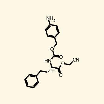 N#CCOC(=O)[C@H](CCc1ccccc1)NC(=O)OCc1ccc(N)cc1